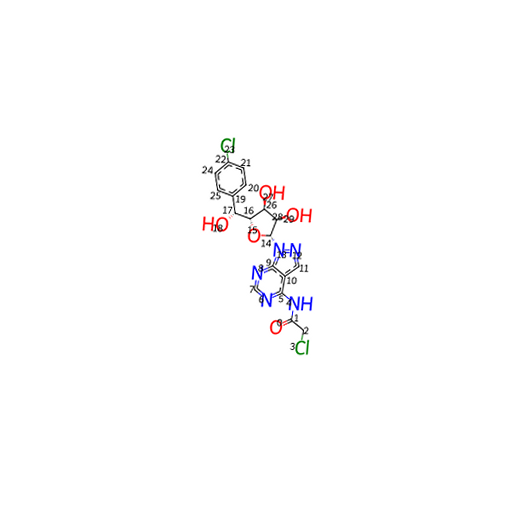 O=C(CCl)Nc1ncnc2c1cnn2[C@@H]1O[C@H]([C@H](O)c2ccc(Cl)cc2)[C@@H](O)[C@H]1O